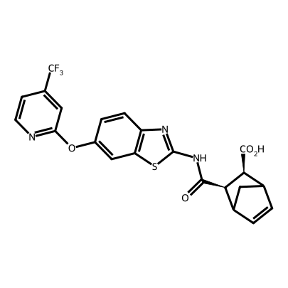 O=C(Nc1nc2ccc(Oc3cc(C(F)(F)F)ccn3)cc2s1)[C@@H]1C2C=CC(C2)[C@@H]1C(=O)O